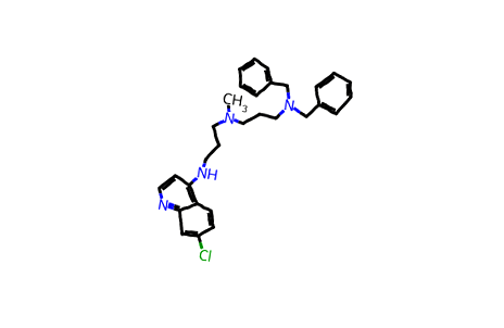 CN(CCCNc1ccnc2cc(Cl)ccc12)CCCN(Cc1ccccc1)Cc1ccccc1